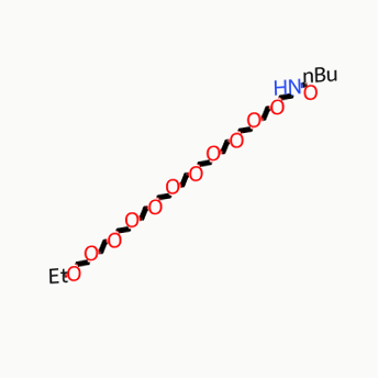 CCCCC(=O)NCCOCCOCCOCCOCCOCCOCCOCCOCCOCCOCCOCC